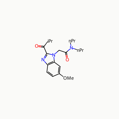 CCCN(CCC)C(=O)Cn1c(C(=O)C(C)C)nc2ccc(OC)cc21